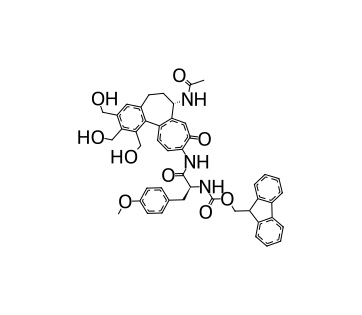 COc1ccc(C[C@H](NC(=O)OCC2c3ccccc3-c3ccccc32)C(=O)Nc2ccc3c(cc2=O)[C@@H](NC(C)=O)CCc2cc(CO)c(CO)c(CO)c2-3)cc1